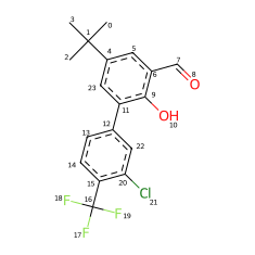 CC(C)(C)c1cc(C=O)c(O)c(-c2ccc(C(F)(F)F)c(Cl)c2)c1